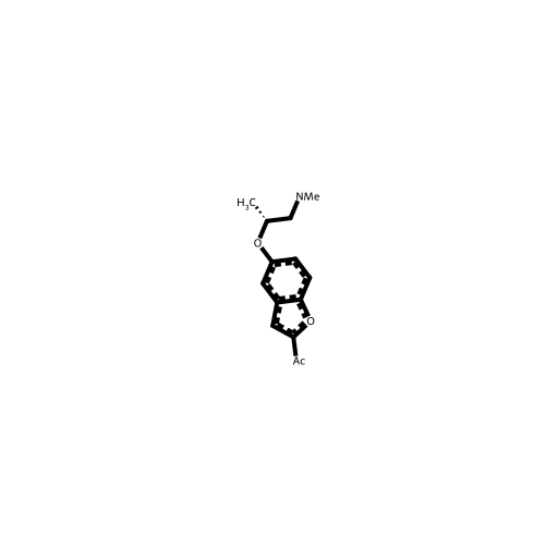 CNC[C@@H](C)Oc1ccc2oc(C(C)=O)cc2c1